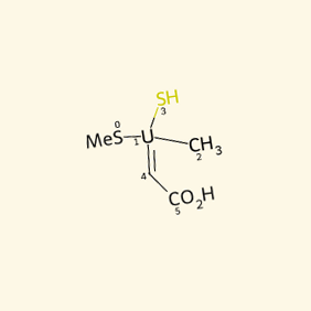 C[S][U]([CH3])([SH])=[CH]C(=O)O